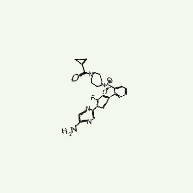 Nc1cnc(-c2ccc(-c3ccccc3S(=O)(=O)N3CCN(C(=O)C4CC4)CC3)cc2F)cn1